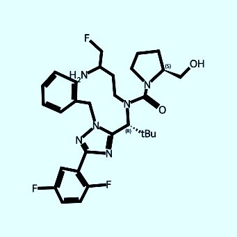 CC(C)(C)[C@H](c1nc(-c2cc(F)ccc2F)nn1Cc1ccccc1)N(CCC(N)CF)C(=O)N1CCC[C@H]1CO